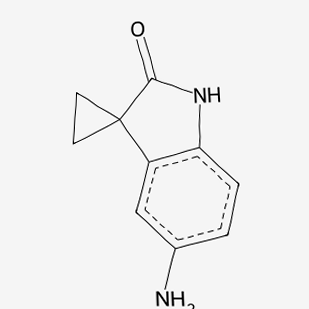 Nc1ccc2c(c1)C1(CC1)C(=O)N2